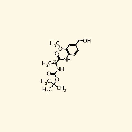 COc1cc(CO)ccc1NC(=O)[C@H](C)NC(=O)OC(C)(C)C